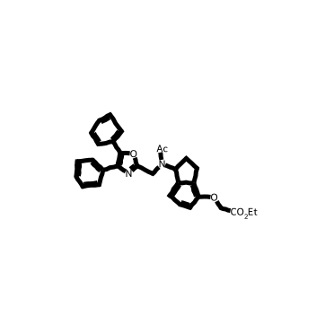 CCOC(=O)COc1cccc2c1CCC2N(Cc1nc(-c2ccccc2)c(-c2ccccc2)o1)C(C)=O